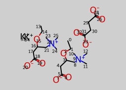 CCOC(CC(=O)[O-])C[N+](C)(C)C.CCOC(CC(=O)[O-])C[N+](C)(C)C.O=C([O-])CCC(=O)[O-].[K+].[K+]